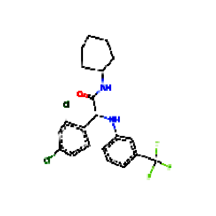 O=C(NC1CCCCC1)C(Nc1cccc(C(F)(F)F)c1)c1ccc(Cl)cc1Cl